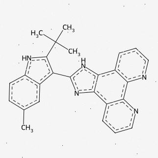 Cc1ccc2[nH]c(C(C)(C)C)c(-c3nc4c5cccnc5c5ncccc5c4[nH]3)c2c1